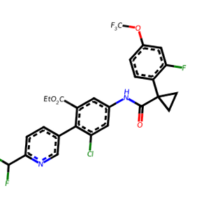 CCOC(=O)c1cc(NC(=O)C2(c3ccc(OC(F)(F)F)cc3F)CC2)cc(Cl)c1-c1ccc(C(F)F)nc1